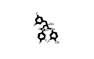 N#Cc1ccc(NC(=O)[C@](O)(Cc2cc(F)cc(F)c2)CS(=O)(=O)c2ccc(F)cc2)cc1C(F)(F)F